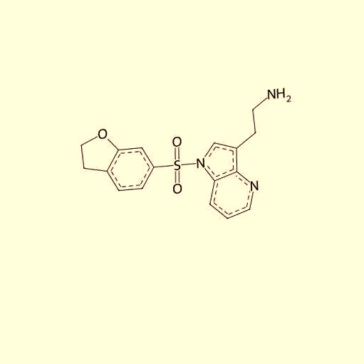 NCCc1cn(S(=O)(=O)c2ccc3c(c2)OCC3)c2cccnc12